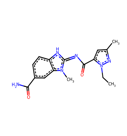 CCn1nc(C)cc1C(=O)N=c1[nH]c2ccc(C(N)=O)cc2n1C